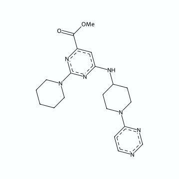 COC(=O)c1cc(NC2CCN(c3ccncn3)CC2)nc(N2CCCCC2)n1